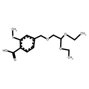 CCOC(COCc1ccc(C(=O)O)c(SC)c1)OCC